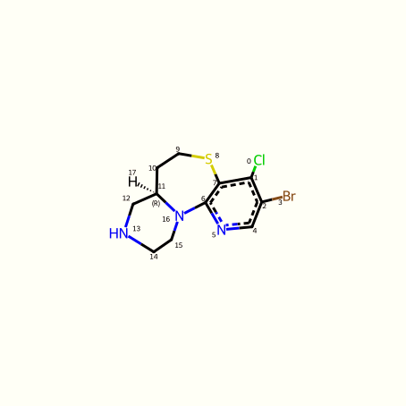 Clc1c(Br)cnc2c1SCC[C@@H]1CNCCN21